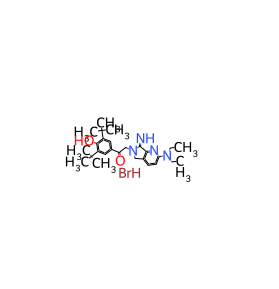 Br.CCN(CC)c1ccc2c(n1)C(=N)N(CC(=O)c1cc(C(C)(C)C)c(O)c(C(C)(C)C)c1)C2